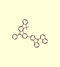 CC1(C)c2ccccc2-c2ccc3c(c21)c1cc(-c2ccc4c(c2)c2ccccc2n4-c2cccc4ccccc24)ccc1n3-c1ccccc1